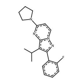 CC(C)c1c(-c2ccccc2F)nn2ccc(N3CCCC3)nc12